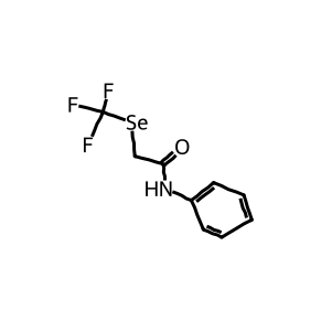 O=C(C[Se]C(F)(F)F)Nc1ccccc1